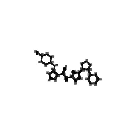 O=C(Nc1nc([C@H]2CCCN2c2ccccc2)cs1)c1cccn1CC1CCC(F)CC1